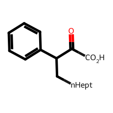 CCCCCCCCC(C(=O)C(=O)O)c1ccccc1